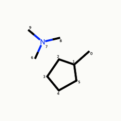 CC1CCCC1.CN(C)C